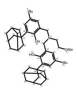 COCCN(Cc1cc(C(C)(C)C)cc(C23CC4CC(CC(C4)C2)C3)c1O)Cc1cc(C(C)(C)C)cc(C23CC4CC(CC(C4)C2)C3)c1O